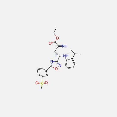 CCOC(=O)C(=N)/C=C(\Nc1ccccc1C(C)C)c1noc(-c2cccc(S(C)(=O)=O)c2)n1